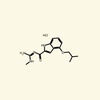 CNC(N)=NC(=O)c1cc2c(OCC(C)C)cccc2[nH]1.Cl